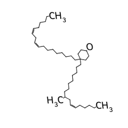 CCCCC/C=C\C/C=C\CCCCCCCCC1(CCCCCCCCC(C)C/C=C\CCCCC)CCC(=O)CC1